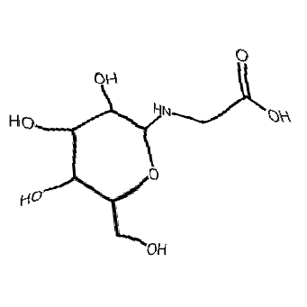 O=C(O)CNC1OC(CO)C(O)C(O)C1O